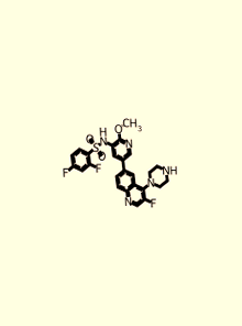 COc1ncc(-c2ccc3ncc(F)c(N4CCNCC4)c3c2)cc1NS(=O)(=O)c1ccc(F)cc1F